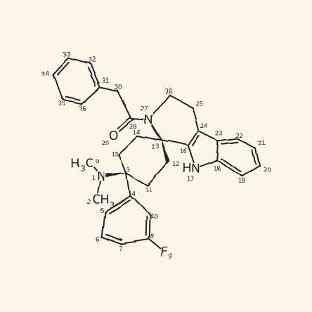 CN(C)[C@]1(c2cccc(F)c2)CC[C@]2(CC1)c1[nH]c3ccccc3c1CCN2C(=O)Cc1ccccc1